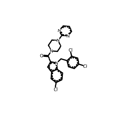 O=C(c1cc2cc(Cl)ccc2n1Cc1ccc(Cl)cc1Cl)N1CCN(c2ncccn2)CC1